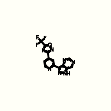 FC(F)(F)c1nc(-c2ccnc(-c3n[nH]c4cncnc34)c2)no1